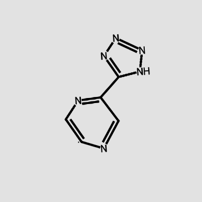 [c]1cnc(-c2nnn[nH]2)cn1